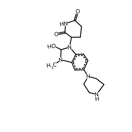 CN1c2cc(N3CCNCC3)ccc2N(C2CCC(=O)NC2=O)C1O